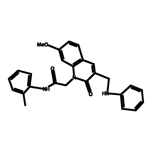 COc1ccc2cc(CNc3ccccc3)c(=O)n(CC(=O)Nc3ccccc3C)c2c1